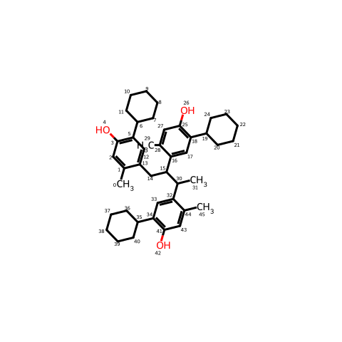 Cc1cc(O)c(C2CCCCC2)cc1CC(c1cc(C2CCCCC2)c(O)cc1C)C(C)c1cc(C2CCCCC2)c(O)cc1C